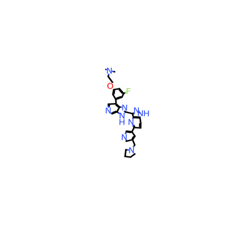 CN(C)CCOc1cc(F)cc(-c2cncc3[nH]c(-c4n[nH]c5ccc(-c6cncc(CN7CCCC7)c6)nc45)nc23)c1